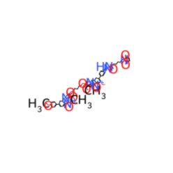 COc1ccc(C2=CC=C3C(C2)Cn2cc(OCCCCCOc4cn5c(c4OC)C=[N+]([O-])C4=CC=C(c6ccc(C=NNC(=O)CCCCCN7C(=O)C=CC7=O)cc6)CC4C5)c(OC)c2C=[N+]3[O-])cc1